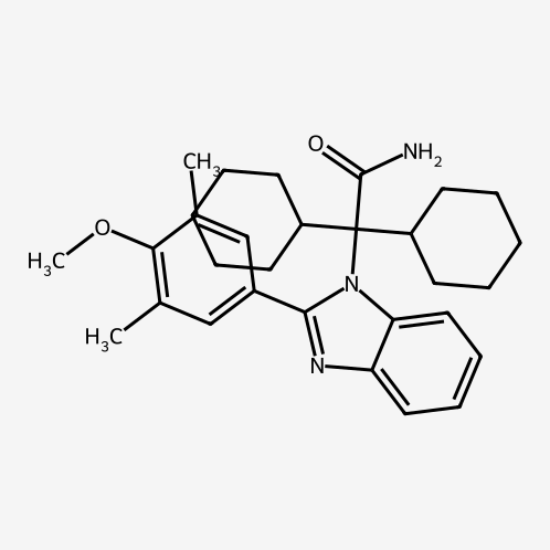 COc1c(C)cc(-c2nc3ccccc3n2C(C(N)=O)(C2CCCCC2)C2CCCCC2)cc1C